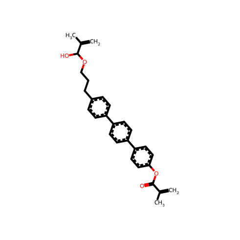 C=C(C)C(=O)Oc1ccc(-c2ccc(-c3ccc(CCCOC(O)C(=C)C)cc3)cc2)cc1